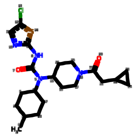 CC1CCC(N(C(=O)Nc2ncc(Cl)s2)C2CCN(C(=O)CC3CC3)CC2)CC1